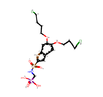 O=P(O)(O)CNS(=O)(=O)c1cc2cc(OCCCCl)c(OCCCCCl)cc2s1